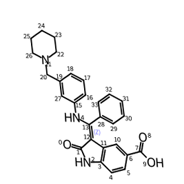 O=C1Nc2ccc(C(=O)O)cc2/C1=C(/Nc1cccc(CN2CCCCC2)c1)c1ccccc1